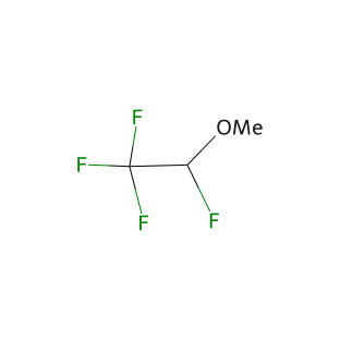 COC(F)C(F)(F)F